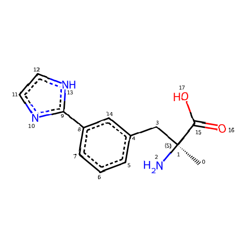 C[C@](N)(Cc1cccc(-c2ncc[nH]2)c1)C(=O)O